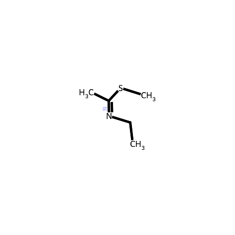 CC/N=C(/C)SC